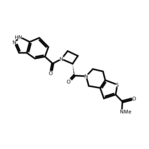 CNC(=O)c1cc2c(s1)CCN(C(=O)[C@H]1CCN1C(=O)c1ccc3[nH]ncc3c1)C2